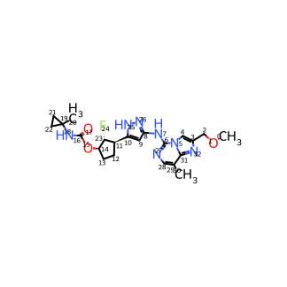 COCc1cn2c(Nc3cc([C@H]4CC[C@@H](OC(=O)NC5(C)CC5)[C@@H]4F)[nH]n3)ncc(C)c2n1